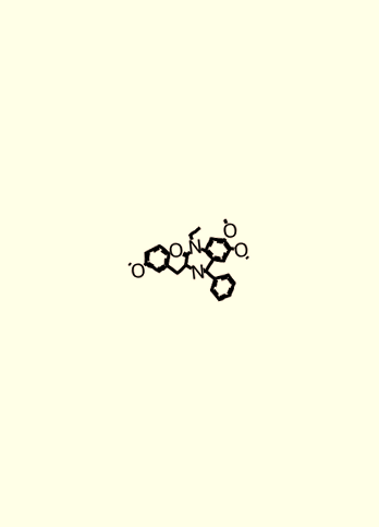 CCN1C(=O)C(Cc2cccc(OC)c2)N=C(c2ccccc2)c2cc(OC)c(OC)cc21